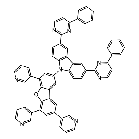 c1ccc(-c2ccnc(-c3ccc4c(c3)c3cc(-c5nccc(-c6ccccc6)n5)ccc3n4-c3cc(-c4cccnc4)c4oc5c(-c6cccnc6)cc(-c6cccnc6)cc5c4c3)n2)cc1